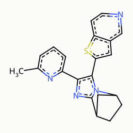 Cc1cccc(-c2nc3n(c2-c2cc4cnccc4s2)C2CCC3C2)n1